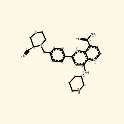 N#C[C@H]1COCCN1Cc1ccc(-c2nc(N[C@H]3CCCNC3)c3nccc(C(N)=O)c3n2)cc1